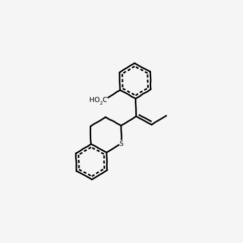 CC=C(c1ccccc1C(=O)O)C1CCc2ccccc2S1